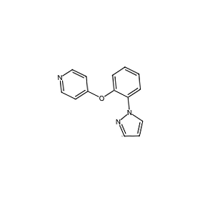 [c]1ccn(-c2ccccc2Oc2ccncc2)n1